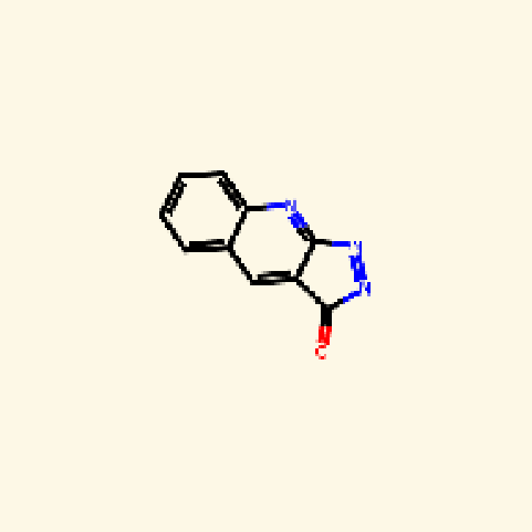 O=C1N=Nc2nc3ccccc3cc21